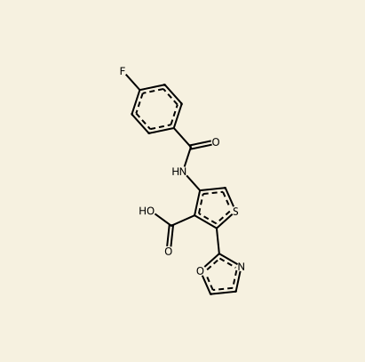 O=C(Nc1csc(-c2ncco2)c1C(=O)O)c1ccc(F)cc1